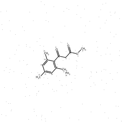 COC(=O)CC(=O)c1c(C)cc(C)cc1C.P